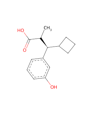 CC(C(=O)O)[C@H](c1cccc(O)c1)C1CCC1